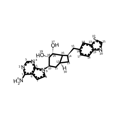 Nc1ncnc2c1ccn2[C@@H]1C[C@@H]2C[C@H](Cc3ccc4ncsc4c3)C2[C@@H](O)[C@H]1O